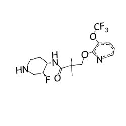 CC(C)(COc1ncccc1OC(F)(F)F)C(=O)N[C@H]1CCNC[C@@H]1F